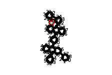 c1ccc(-c2ccc3c(-c4ccc(-c5c6ccccc6c(-c6cccc7c6oc6ccccc67)c6ccccc56)cc4)c4ccccc4c(-c4ccccc4)c3c2)cc1